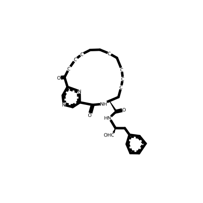 O=C[C@H](Cc1ccccc1)NC(=O)[C@@H]1CCCCCCCCCCCC(=O)c2cncc(n2)C(=O)N1